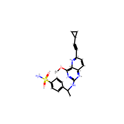 CCOc1nc(NC(C)c2ccc(S(N)(=O)=O)cc2)nc2ccc(C#CC3CC3)nc12